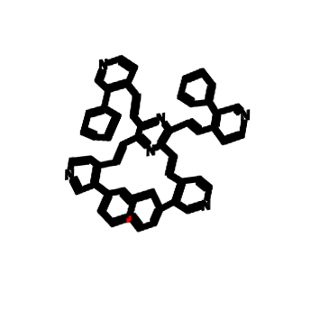 C(=Cc1nc(C=Cc2ccncc2-c2ccccc2)c(C=Cc2ccncc2-c2ccccc2)nc1C=Cc1ccncc1-c1ccccc1)c1ccncc1-c1ccccc1